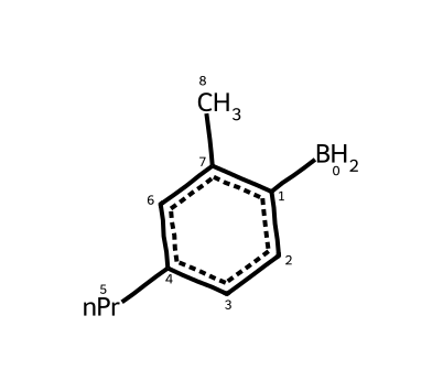 Bc1ccc(CCC)cc1C